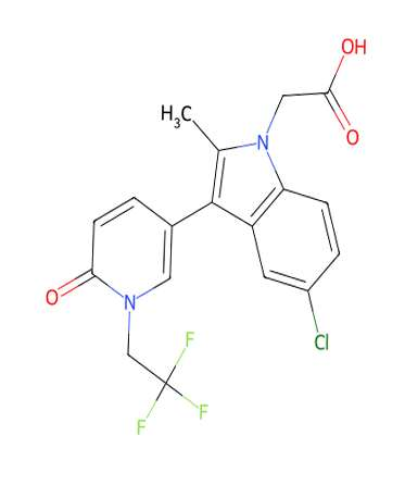 Cc1c(-c2ccc(=O)n(CC(F)(F)F)c2)c2cc(Cl)ccc2n1CC(=O)O